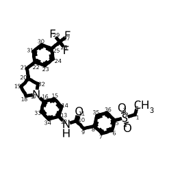 CCS(=O)(=O)c1ccc(CC(=O)Nc2ccc(N3CCC(Cc4ccc(C(F)(F)F)cc4)C3)cc2)cc1